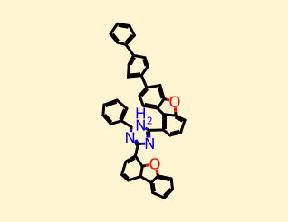 N/C(=N\C(=N/Cc1ccccc1)C1=CC=CC2c3ccccc3OC12)c1cccc2oc3cc(-c4ccc(-c5ccccc5)cc4)ccc3c12